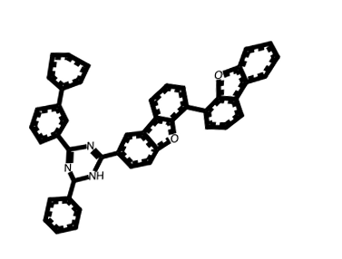 c1ccc(-c2cccc(C3=NC(c4ccccc4)NC(c4ccc5oc6c(-c7cccc8c7oc7ccccc78)cccc6c5c4)=N3)c2)cc1